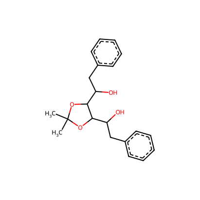 CC1(C)OC(C(O)Cc2ccccc2)C(C(O)Cc2ccccc2)O1